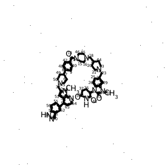 Cn1c(CN2CCC(c3ccc(C(=O)N4CCN(CC5CCN(Cc6ccc7c(c6)n(C)c(=O)n7C6CCC(=O)NC6=O)CC5)CC4)cc3)CC2)cc2c(-c3ccc4[nH]ncc4c3)ccnc21